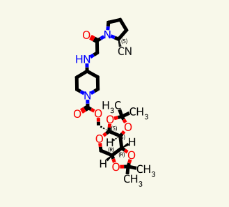 CC1(C)O[C@@H]2[C@@H](CO[C@@]3(COC(=O)N4CCC(NCC(=O)N5CCC[C@H]5C#N)CC4)OC(C)(C)O[C@@H]23)O1